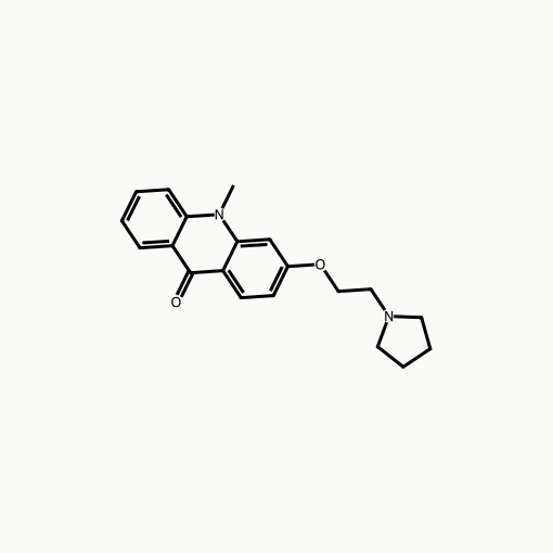 Cn1c2ccccc2c(=O)c2ccc(OCCN3CCCC3)cc21